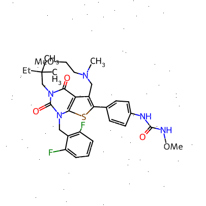 CCC(C)(C)Cn1c(=O)c2c(CN(C)CCOC)c(-c3ccc(NC(=O)NOC)cc3)sc2n(Cc2c(F)cccc2F)c1=O